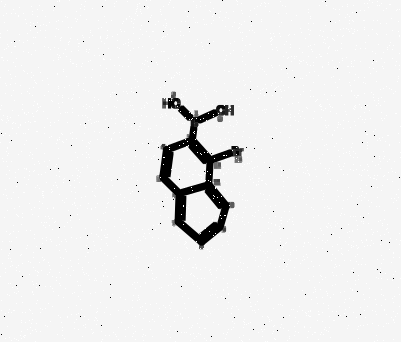 OB(O)c1ccc2ccccc2c1Br